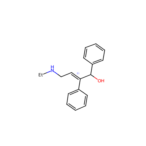 CCNC/C=C(\c1ccccc1)C(O)c1ccccc1